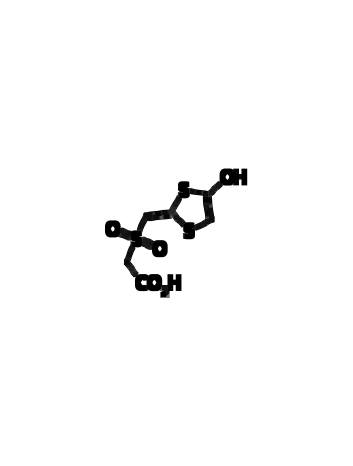 O=C(O)CS(=O)(=O)/C=C1\SC=C(O)S1